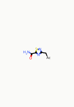 CC(=O)Cc1nsc(C(N)=O)n1